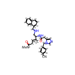 CNC(=O)CCC(C)C(CNCc1cccc2ccccc12)NC(=O)Cc1cncn1Cc1ccc(C#N)cc1